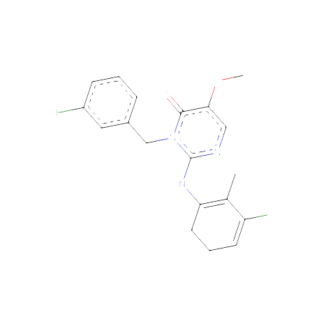 COc1cnc(NC2=C(C)C(Cl)=CCC2)n(Cc2cccc(Cl)c2)c1=O